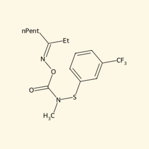 CCCCCC(CC)=NOC(=O)N(C)Sc1cccc(C(F)(F)F)c1